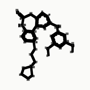 COc1cc(Nc2ncc3c(n2)-c2cc(CCCN4CCCC4)ccc2NC(=O)C3)cc(OC)c1